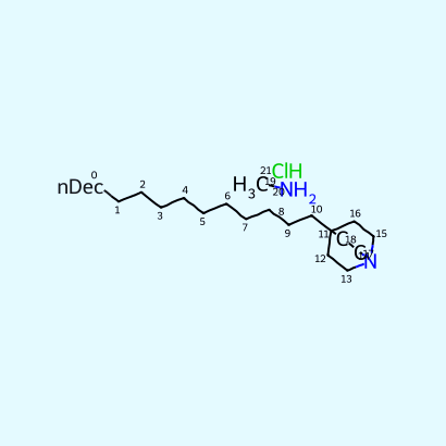 CCCCCCCCCCCCCCCCCCCCC12CCN(CC1)CC2.CN.Cl